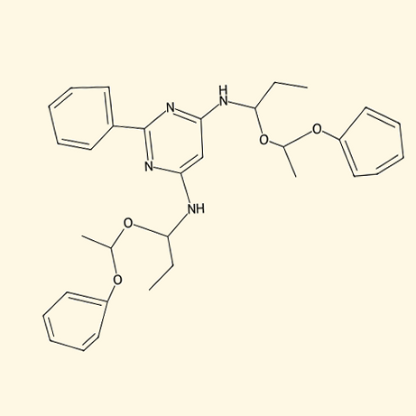 CCC(Nc1cc(NC(CC)OC(C)Oc2ccccc2)nc(-c2ccccc2)n1)OC(C)Oc1ccccc1